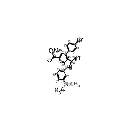 COC(=O)c1cc(-c2ccc(Br)cc2)c2c(C(C)C)nn(-c3cccc(N(C)C)c3)c2n1